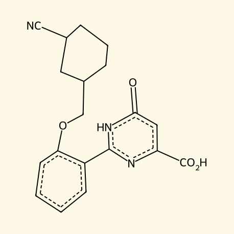 N#CC1CCCC(COc2ccccc2-c2nc(C(=O)O)cc(=O)[nH]2)C1